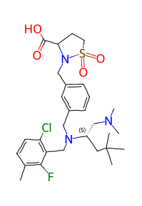 Cc1ccc(Cl)c(CN(Cc2cccc(CN3C(C(=O)O)CCS3(=O)=O)c2)[C@H](CN(C)C)CC(C)(C)C)c1F